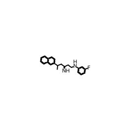 CC(CC(=N)CCNc1cccc(F)c1)c1ccc2ccccc2c1